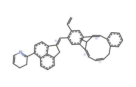 C=Cc1cc2c(cc1/C=C1\Cc3cccc4c(C5=NC=CCC5)ccc1c34)/C1=C/C=C\Cc3ccccc3/C=C/2C1C